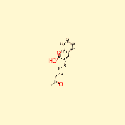 CC(=O)CCCCC(=Cc1ccccc1)C(=O)O